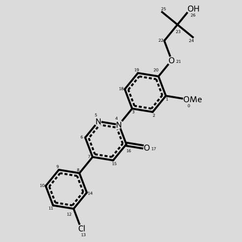 COc1cc(-n2ncc(-c3cccc(Cl)c3)cc2=O)ccc1OCC(C)(C)O